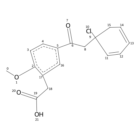 COc1ccc(C(=O)CC2(Cl)C=CC=CC2)cc1CC(=O)O